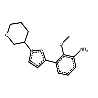 COc1c(N)cccc1-c1ccn(C2CCCOC2)n1